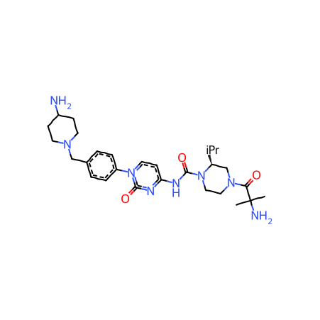 CC(C)[C@H]1CN(C(=O)C(C)(C)N)CCN1C(=O)Nc1ccn(-c2ccc(CN3CCC(N)CC3)cc2)c(=O)n1